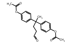 CC(=O)Oc1ccc(C(C)(CCC=O)c2ccc(OC(C)=O)cc2)cc1